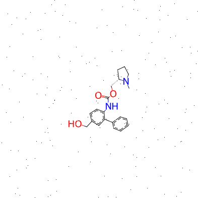 CN1CCC[C@H]1COC(=O)Nc1ccc(CO)cc1-c1ccccc1